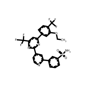 CCOc1cc(-c2cc(C(F)(F)F)nc(-c3ccnc(-c4cccc(S(N)(=O)=O)c4)c3)n2)ccc1C(F)(F)F